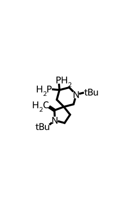 C=C1N(C(C)(C)C)CCC12CN(C(C)(C)C)CC(P)(P)C2